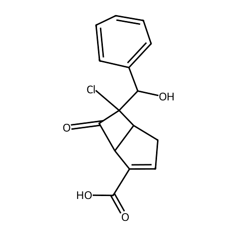 O=C(O)C1=CCC2C1C(=O)C2(Cl)C(O)c1ccccc1